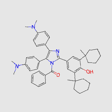 CN(C)c1ccc(-c2nc(-c3cc(C4(C)CCCCC4)c(O)c(C4(C)CCCCC4)c3)n(C(=O)c3ccccc3)c2-c2ccc(N(C)C)cc2)cc1